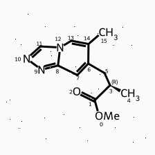 COC(=O)[C@H](C)Cc1cc2nncn2cc1C